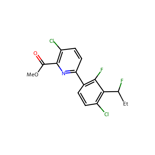 CCC(F)c1c(Cl)ccc(-c2ccc(Cl)c(C(=O)OC)n2)c1F